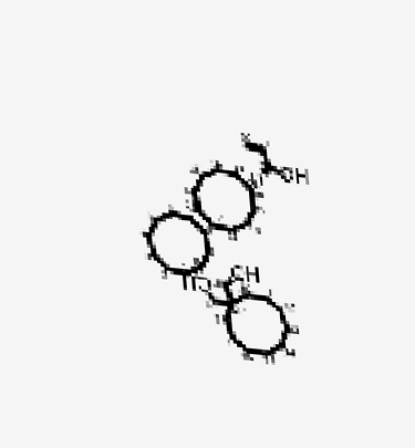 C1CCCCCCCCC1.C1CCCCCCCCC1.C=CC(=O)O.OCC1(CO)CCCCCCCCC1